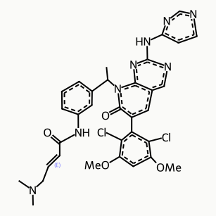 COc1cc(OC)c(Cl)c(-c2cc3cnc(Nc4ccncn4)nc3n(C(C)c3cccc(NC(=O)/C=C/CN(C)C)c3)c2=O)c1Cl